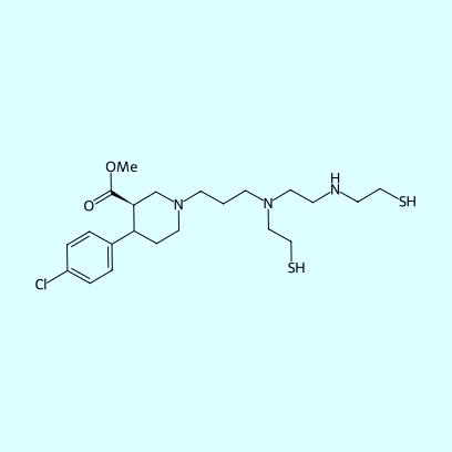 COC(=O)[C@H]1CN(CCCN(CCS)CCNCCS)CCC1c1ccc(Cl)cc1